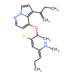 C=C(CC)c1ccn2nccc(OC(C)/C(F)=C\C(=C/CC)NC)c12